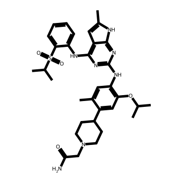 Cc1cc2c(Nc3ccccc3S(=O)(=O)C(C)C)nc(Nc3cc(C)c(C4CCN(CC(N)=O)CC4)cc3OC(C)C)nc2[nH]1